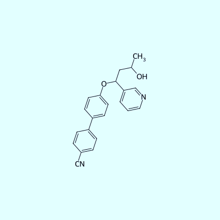 CC(O)CC(Oc1ccc(-c2ccc(C#N)cc2)cc1)c1cccnc1